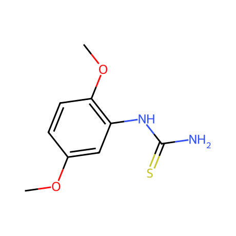 COc1ccc(OC)c(NC(N)=S)c1